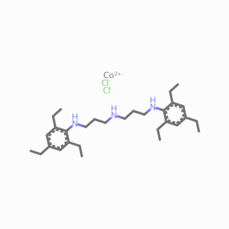 CCc1cc(CC)c(NCCCNCCCNc2c(CC)cc(CC)cc2CC)c(CC)c1.[Cl-].[Cl-].[Co+2]